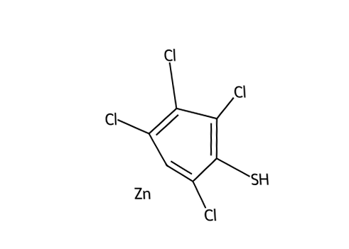 Sc1c(Cl)cc(Cl)c(Cl)c1Cl.[Zn]